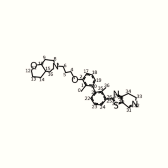 Cc1c(OCCCN2CCC3OCCCC3C2)cccc1-c1cccc(-c2nc3c(s2)C=NCC3)c1C